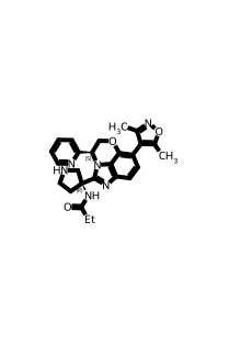 CCC(=O)N[C@]1(c2nc3ccc(-c4c(C)noc4C)c4c3n2[C@@H](c2ccccn2)CO4)CCNC1